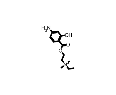 CC[N+](C)(C)CCOC(=O)c1ccc(N)cc1O